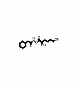 O=C(CC1CCCCC1)NOC(=O)C(O)CCCCO